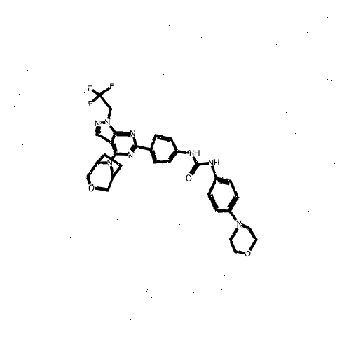 O=C(Nc1ccc(-c2nc(N3C4CCC3COC4)c3cnn(CC(F)(F)F)c3n2)cc1)Nc1ccc(N2CCOCC2)cc1